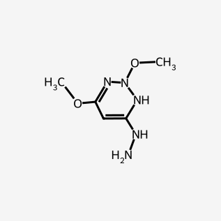 COC1=NN(OC)NC(NN)=C1